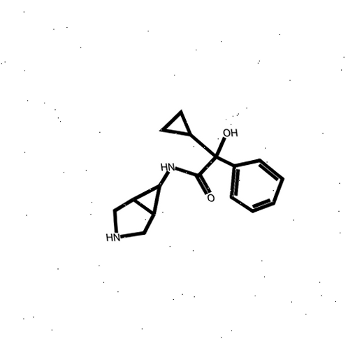 O=C(NC1C2CNCC21)C(O)(c1ccccc1)C1CC1